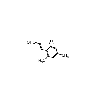 Cc1cc(C)c(C=C[C]=O)c(C)c1